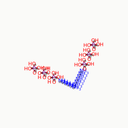 N.N.N.N.N.N.N.N.N.N.N.N.O=P(O)(O)O.O=P(O)(O)O.O=P(O)(O)O.O=P(O)(O)O.O=P(O)(O)O.O=P(O)(O)O